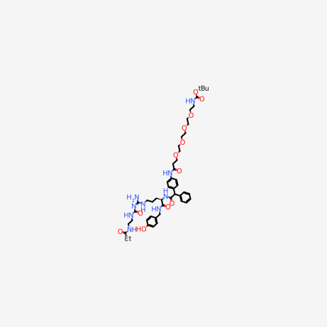 CCC(=O)NCCNC(=O)/N=C(/N)NCCC[C@@H](NC(=O)C(c1ccccc1)c1ccc(NC(=O)CCOCCOCCOCCOCCNC(=O)OC(C)(C)C)cc1)C(=O)NCc1ccc(O)cc1